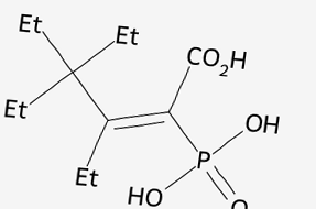 CCC(=C(C(=O)O)P(=O)(O)O)C(CC)(CC)CC